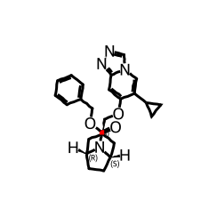 O=C(OCc1ccccc1)N1[C@@H]2CC[C@H]1C[C@H](COc1cc3nncn3cc1C1CC1)C2